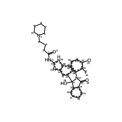 O=C(CCCN1CCCCC1)Nc1nc2cc(C3(O)c4ccccc4C(=O)N3c3cccc(Cl)c3F)ccc2[nH]1